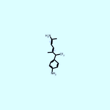 C/C(N)=C\C=C(/C)C(c1ccc(N)cc1)C(F)(F)F